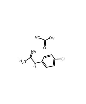 N=C(N)Nc1ccc(Cl)cc1.O=C(O)O